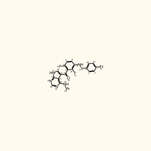 CCc1ccc(SNc2ccc(F)c(C(=O)c3c[nH]c4ncnc(NC(C)C)c34)c2F)cc1